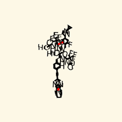 COC(=O)N[C@H](C(=O)N[C@@H](Cc1ccc(C#Cc2cnc(N3CC4CCC(C3)N4C3COC3)nc2)cc1)[C@@H](O)CN(Cc1c(F)cc(-c2ccn(C3CC3)n2)cc1F)NC(=O)[C@@H](NC(=O)O)C(C)(C)C(F)(F)F)C(C)(C)C(F)(F)F